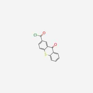 O=C(Cl)c1ccc2sc3ccccc3c(=O)c2c1